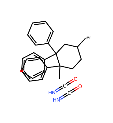 CC(C)C1CCC(C)(c2ccccc2)C(c2ccccc2)(c2ccccc2)C1.N=C=O.N=C=O